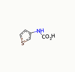 O=C(O)Nc1ccsc1